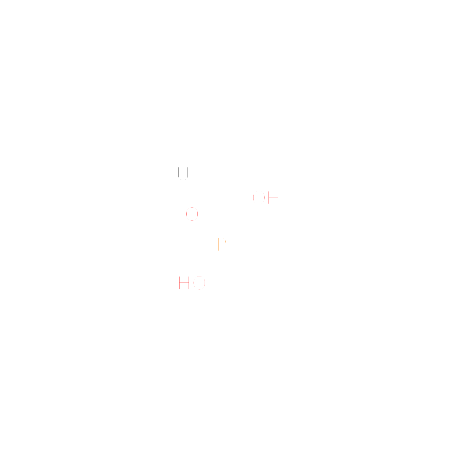 CP(=O)(O)O.[U]